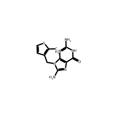 Cc1sccc1Cn1c(N)nc2c(=O)[nH]c(N)nc21